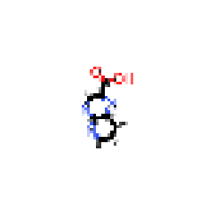 O=C(O)c1cnc2ncccc2n1